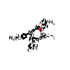 COOP1(=O)OC[C@H]2O[C@@H](n3ccc(=O)[nH]c3=O)[C@H](F)[C@@H]2OP(=O)(SCc2ccc(OC(C)=O)cc2)OC[C@H]2O[C@@H](n3cnc4c(N)ncnc43)[C@H](O1)[C@@H]2F